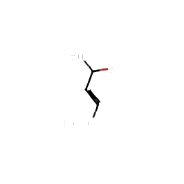 CCCCC(Br)C=CC(=O)O